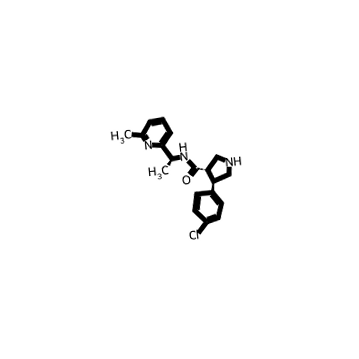 Cc1cccc([C@H](C)NC(=O)[C@@H]2CNC[C@H]2c2ccc(Cl)cc2)n1